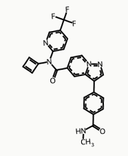 CNC(=O)c1ccc(-c2cnn3ccc(C(=O)N(C4=CC=C4)c4ccc(C(F)(F)F)cn4)cc23)cc1